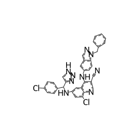 N#Cc1cnc2c(Cl)cc(NC(c3ccc(Cl)cc3)c3c[nH]nn3)cc2c1Nc1ccc2c(cnn2Cc2ccccc2)c1